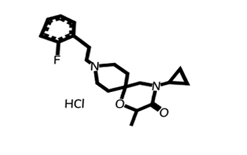 CC1OC2(CCN(CCc3ccccc3F)CC2)CN(C2CC2)C1=O.Cl